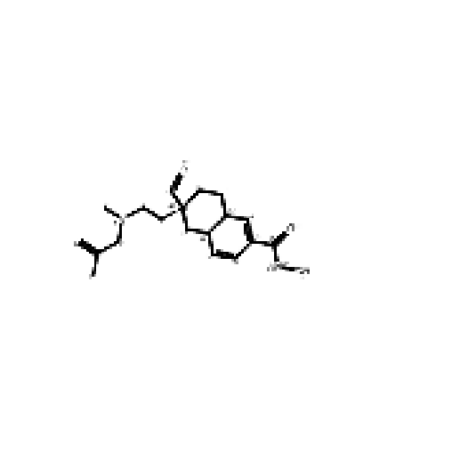 C=C(C)CN(C)CC[C@@]1(C=O)CCC2C=C(C(=O)NO)C=CC2C1